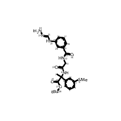 CSc1cccc(C(C)(NC(=O)CNC(=O)c2cccc(NC=NN)c2)C(=O)OC(C)(C)C)c1